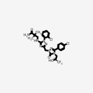 CC(C)(CNc1nc(Cn2nc(-c3ccc(Cl)cc3)n(C[C@H](O)C(F)(F)F)c2=O)nn1-c1ccccc1Cl)C(N)=O